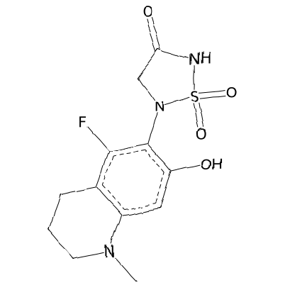 CN1CCCc2c1cc(O)c(N1CC(=O)NS1(=O)=O)c2F